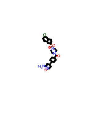 Nc1cc(-c2ccc(C(=O)N3CCN(S(=O)(=O)c4ccc5cc(Cl)ccc5c4)CC3)cc2)cc[n+]1[O-]